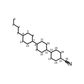 CCCCC1CCC(C2CCC(C3CCC(C#N)CC3)CC2)CC1